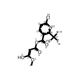 COC(O)=CC(=O)OC(=O)c1ccc(Cl)nc1C(F)(F)F